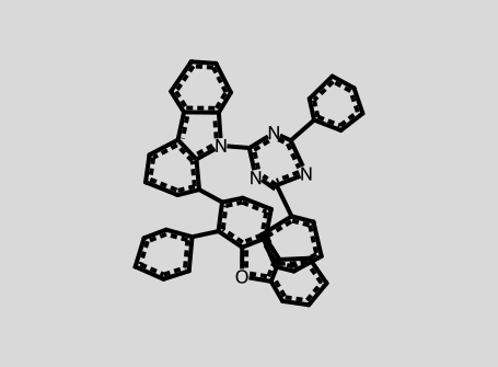 c1ccc(-c2nc(-c3ccccc3)nc(-n3c4ccccc4c4cccc(-c5ccc6c(oc7ccccc76)c5-c5ccccc5)c43)n2)cc1